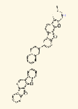 C=C/C=C\c1oc2c(ccc3c4cc(-c5ccc6ccc(-c7ccc8oc9c(ccc%10c%11ccccc%11oc%109)c8c7)cc6c5)ccc4oc32)c1C